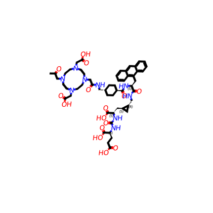 CC(=O)CN1CCN(CC(=O)O)CCN(CC(=O)NC[C@H]2CC[C@H](C(=O)N[C@@H](Cc3c4ccccc4cc4ccccc34)C(=O)NC[C@@H]3C[C@H]3C[C@H](NC(=O)N[C@@H](CCC(=O)O)C(=O)O)C(=O)O)CC2)CCN(CC(=O)O)CC1